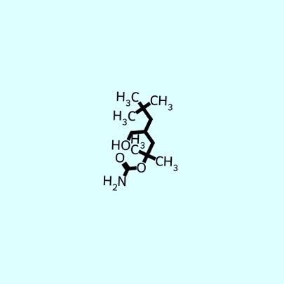 CC(C)(C)CC(CO)CC(C)(C)OC(N)=O